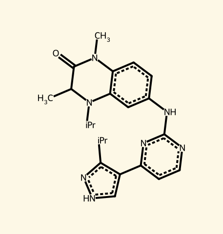 CC(C)c1n[nH]cc1-c1ccnc(Nc2ccc3c(c2)N(C(C)C)C(C)C(=O)N3C)n1